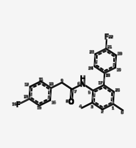 Cc1cc(C)c(NC(=O)Cc2ccc(F)cc2)c(-c2ccc(F)cc2)c1